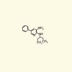 CCC(CC)Nc1ncc(-c2ccccc2)cc1N